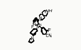 N#Cc1ccc(-c2nc3c(N4CCC5(CCNCC5)CC4)ccnc3n2-c2ccc(N3CCCC3)cc2F)cc1F